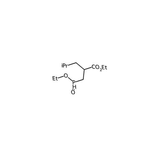 CCOC(=O)C(CC(C)C)C[PH](=O)OCC